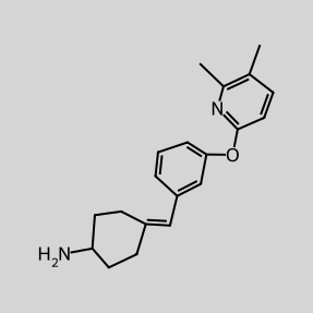 Cc1ccc(Oc2cccc(C=C3CCC(N)CC3)c2)nc1C